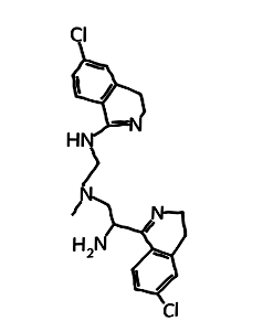 CN(CCNC1=NCCc2cc(Cl)ccc21)CC(N)C1=NCCc2cc(Cl)ccc21